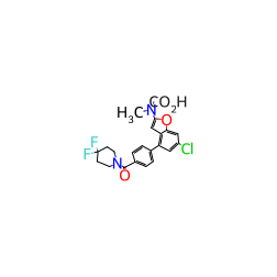 CN(C(=O)O)c1cc2c(-c3ccc(C(=O)N4CCC(F)(F)CC4)cc3)cc(Cl)cc2o1